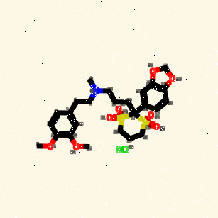 COc1ccc(CCN(C)CCCC2(c3ccc4c(c3)OCO4)S(=O)(=O)CCCS2(=O)=O)cc1OC.Cl